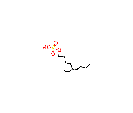 CCCCC(CC)CCCCOS(=O)(=O)O